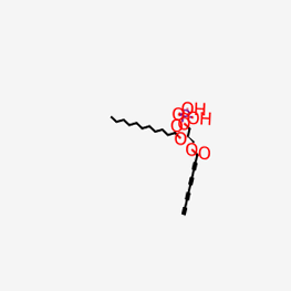 C#CC#CC#CC#CC(=O)OC[C@H](COP(=O)(O)O)OC(=O)CCCCCCCCCC